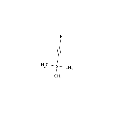 CCC#CS(C)(C)C